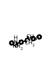 C=C(CC(=C)c1ccc(C(=O)Nc2ccccc2N)cc1)CN1CCN(c2ccccc2)CC1